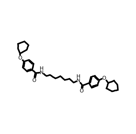 O=C(NCCCCCCCNC(=O)c1ccc(OC2CCCCC2)cc1)c1ccc(OC2CCCCC2)cc1